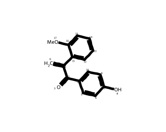 C=C(C(=O)c1ccc(O)cc1)c1ccccc1OC